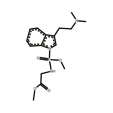 COC(=O)CNP(=O)(OC)n1cc(CCN(C)C)c2ccccc21